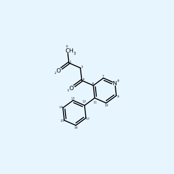 CC(=O)CC(=O)c1cnccc1-c1ccccc1